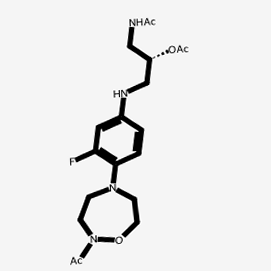 CC(=O)NC[C@@H](CNc1ccc(N2CCON(C(C)=O)CC2)c(F)c1)OC(C)=O